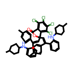 Cc1ccc(/C(=C\C2(/C=C(\c3ccc(C)cc3)c3ccccc3NC3CCC(C)CC3)OC(=O)c3c(Cl)c(Cl)c(Cl)c(Cl)c32)c2ccccc2NC2CCC(C)CC2)cc1